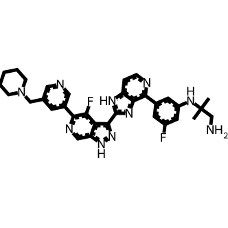 CC(C)(CN)Nc1cc(F)cc(-c2nccc3[nH]c(-c4n[nH]c5cnc(-c6cncc(CN7CCCCC7)c6)c(F)c45)nc23)c1